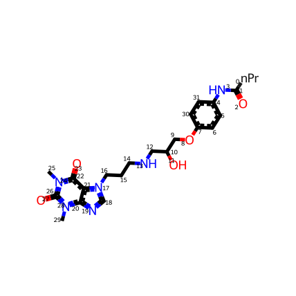 CCCC(=O)Nc1ccc(OCC(O)CNCCCn2cnc3c2c(=O)n(C)c(=O)n3C)cc1